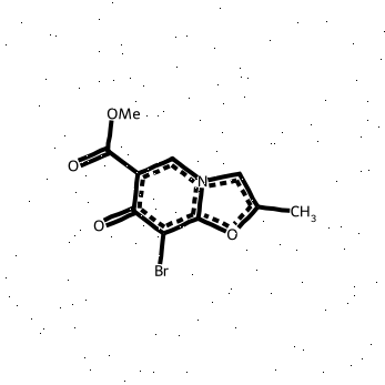 COC(=O)c1cn2cc(C)oc2c(Br)c1=O